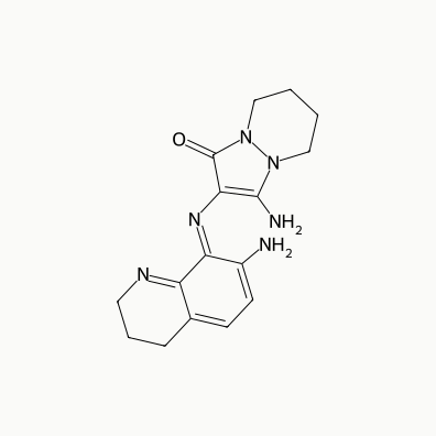 NC1=CC=C2CCCN=C2C1=Nc1c(N)n2n(c1=O)CCCC2